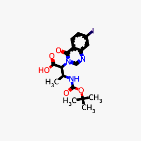 CC(NC(=O)OC(C)(C)C)C(C(=O)O)n1cnc2cc(I)ccc2c1=O